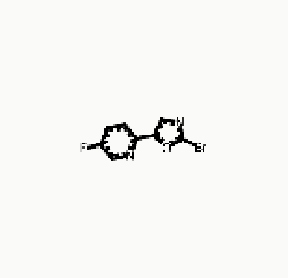 Fc1ccc(-c2cnc(Br)o2)nc1